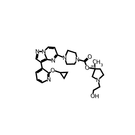 C[C@@]1(OC(=O)N2CCN(c3ccn4ncc(-c5cccnc5OC5CC5)c4n3)CC2)CCN(CCO)C1